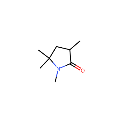 CC1CC(C)(C)N(C)C1=O